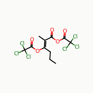 CCCC(OC(=O)C(Cl)(Cl)Cl)=C(C)C(=O)OC(=O)C(Cl)(Cl)Cl